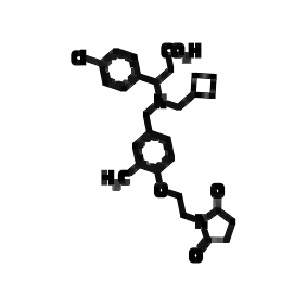 Cc1cc(CN(CC2CCC2)C(CC(=O)O)c2ccc(Cl)cc2)ccc1OCCN1C(=O)CCC1=O